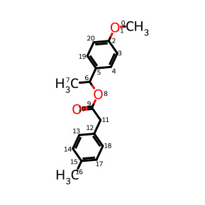 COc1ccc(C(C)OC(=O)Cc2ccc(C)cc2)cc1